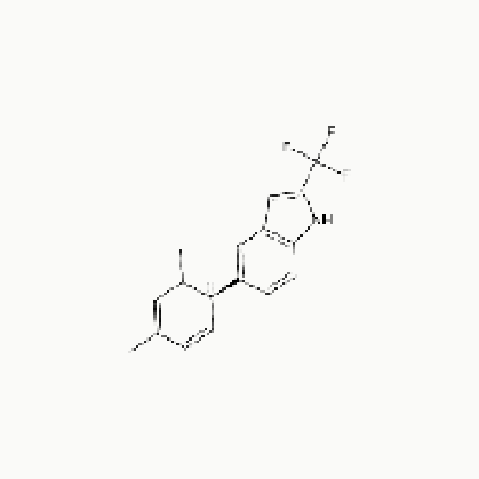 CC1=CC(C)[C@@H](c2ccc3[nH]c(C(F)(F)F)cc3c2)C=C1